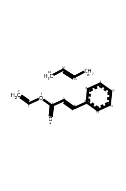 C=COC(=O)C=Cc1ccccc1.CC=CC